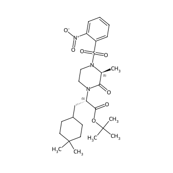 C[C@H]1C(=O)N([C@@H](CC2CCC(C)(C)CC2)C(=O)OC(C)(C)C)CCN1S(=O)(=O)c1ccccc1[N+](=O)[O-]